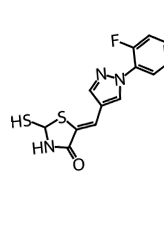 O=C1NC(S)S/C1=C\c1cnn(-c2ccccc2F)c1